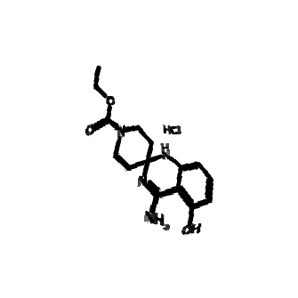 CCOC(=O)N1CCC2(CC1)N=C(N)c1c(O)cccc1N2.Cl